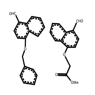 COC(=O)COc1ccc(C=O)c2ccccc12.O=Cc1ccc(OCc2ccccc2)c2ccccc12